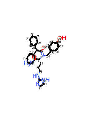 NC(=O)[C@@H](CCCNc1ncc[nH]1)N(Cc1ccc(O)cc1)C(=O)C(c1ccccc1)c1ccccc1